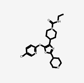 CCNC(=O)N1CCC(c2nc(C3CCOCC3)oc2Sc2ccc(Cl)cn2)CC1